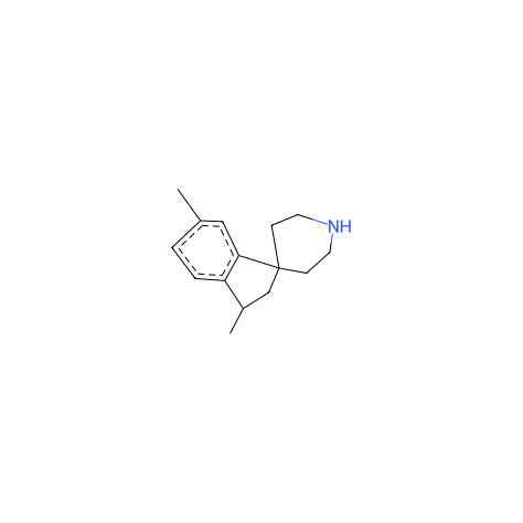 Cc1ccc2c(c1)C1(CCNCC1)CC2C